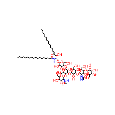 CCCCCCCCCCCCC/C=C/[C@@H](O)[C@H](CO[C@@H]1OC(CO)[C@@H](O[C@@H]2OC(CO)[C@H](O[C@@H]3OC(CO)[C@H](O)[C@H](O)C3NC(C)=O)[C@H](O[C@H]3OC(CO)[C@H](O)[C@H](O[C@@H]4OC(CO)[C@@H](O[C@@H]5OC(CO)[C@H](O)[C@H](O)C5O)[C@H](O)C4NC(C)=O)C3O)C2O)[C@H](O)C1O)NC(=O)CCCCCCCCCCCCCCCCC